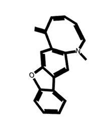 C=C1/C=C\C=C/N(C)c2cc3c(cc21)oc1ccccc13